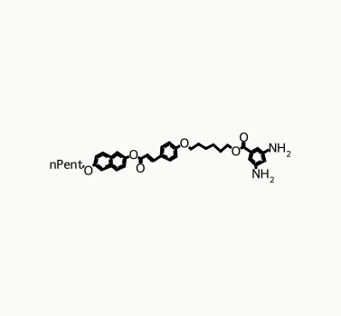 CCCCCOc1ccc2cc(OC(=O)/C=C/c3ccc(OCCCCCCOC(=O)c4cc(N)cc(N)c4)cc3)ccc2c1